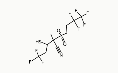 CC(C#N)(C(S)CC(F)(F)F)S(=O)(=O)CCC(F)(F)C(F)(F)F